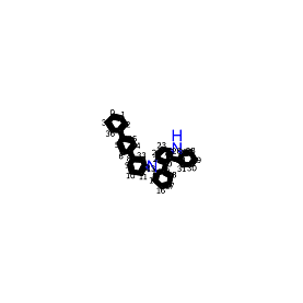 c1ccc(-c2ccc(-c3cccc(-n4c5ccccc5c5c6c(ccc54)[nH]c4ccccc46)c3)cc2)cc1